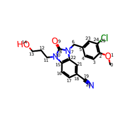 COc1ccc(Cn2c(=O)n(CCCO)c3ccc(C#N)cc32)cc1Cl